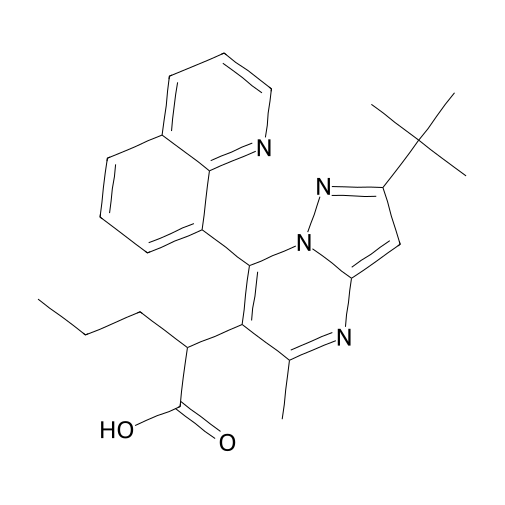 CCCC(C(=O)O)c1c(C)nc2cc(C(C)(C)C)nn2c1-c1cccc2cccnc12